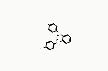 O=S(=O)(c1ccc(O)cc1)c1ccccc1S(=O)(=O)c1ccc(O)cc1